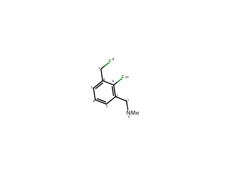 CNCc1cccc(CF)c1F